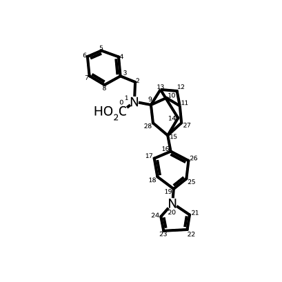 O=C(O)N(Cc1ccccc1)C12CC3CC1CC(c1ccc(-n4cccc4)cc1)(C3)C2